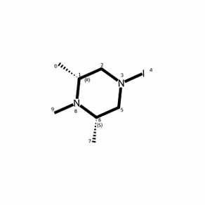 C[C@@H]1CN(I)C[C@H](C)N1C